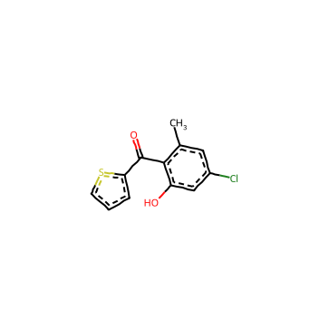 Cc1cc(Cl)cc(O)c1C(=O)c1cccs1